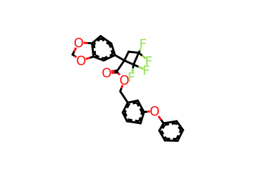 O=C(OCc1cccc(Oc2ccccc2)c1)C1(c2ccc3c(c2)OCO3)CC(F)(F)C1(F)F